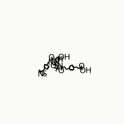 Cc1ncsc1-c1ccc(CNC(=O)[C@@H]2C[C@@H](O)CN2C(=O)[C@@H](NC(=O)CCc2ccc(CCC(=O)O)cc2)C(C)(C)C)cc1